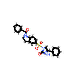 O=C(c1ccccc1)N1CCc2cc(S(=O)(=O)n3cc(-c4ccccc4)[nH]c3=O)ccc21